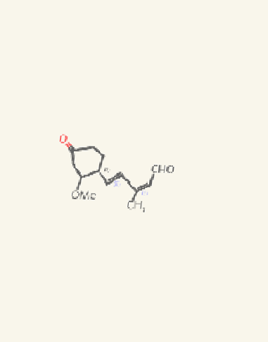 COC1CC(=O)CC[C@H]1/C=C/C(C)=C\C=O